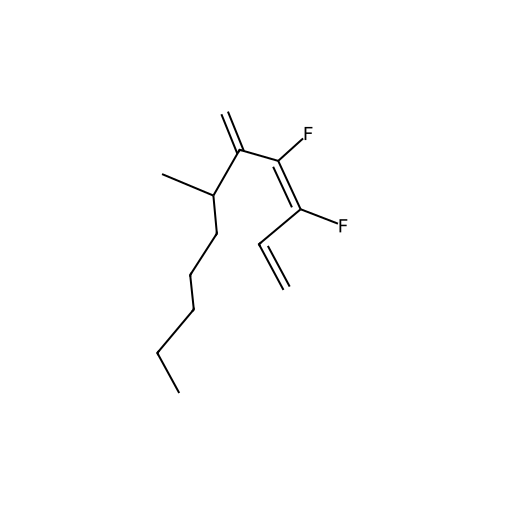 C=C/C(F)=C(/F)C(=C)C(C)CCCCC